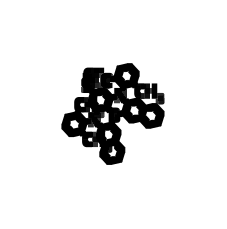 Cc1cccc(C)c1N1c2cc3ccccc3cc2B2c3cc4ccccc4cc3N(c3c(C)cccc3C)c3cc(SC(F)(F)F)cc1c32